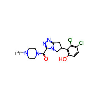 CC(C)N1CCN(C(=O)c2nnc3n2CC(c2c(O)ccc(Cl)c2Cl)C3)CC1